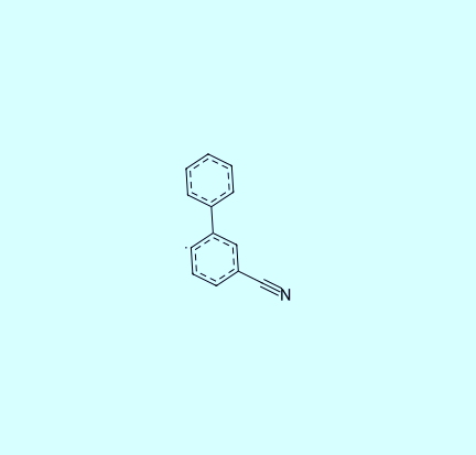 N#Cc1cc[c]c(-c2ccccc2)c1